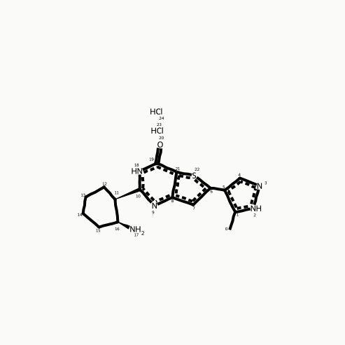 Cc1[nH]ncc1-c1cc2nc([C@@H]3CCCC[C@@H]3N)[nH]c(=O)c2s1.Cl.Cl